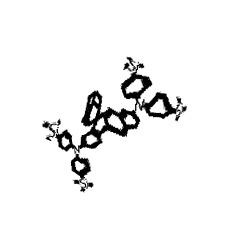 C[Si](C)(C)c1ccc(N(c2ccc([Si](C)(C)C)cc2)c2ccc3c(c2)C2(c4cc5cc(N(c6ccc([Si](C)(C)C)cc6)c6ccc([Si](C)(C)C)cc6)ccc5cc4-3)C3CC4CC(C3)CC2C4)cc1